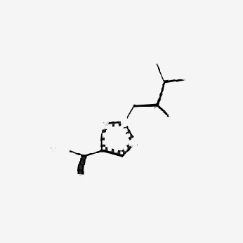 COC(=O)c1cnn(CC(F)C(F)F)n1